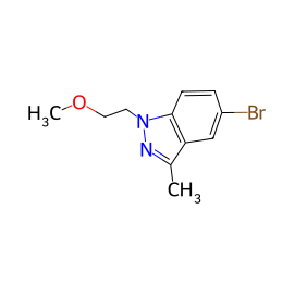 COCCn1nc(C)c2cc(Br)ccc21